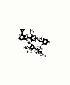 CCS(=O)(=O)C(C)(C)[C@H]1C[C@@H](Nc2nc(NCc3c(F)cc(F)cc3F)nc(C)c2-c2nc3c(C4CC4)nccc3s2)[C@H](O)[C@@H]1O